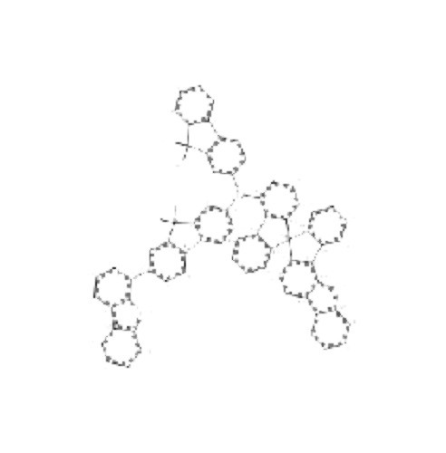 CC1(C)c2ccccc2-c2ccc(N(c3ccc4c(c3)C(C)(C)c3cc(-c5cccc6c5oc5ccccc56)ccc3-4)c3cccc4c3-c3ccccc3C43c4ccccc4-c4c3ccc3c4sc4ccccc43)cc21